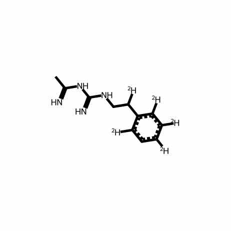 [2H]c1cc([2H])c(C([2H])CNC(=N)NC(C)=N)c([2H])c1[2H]